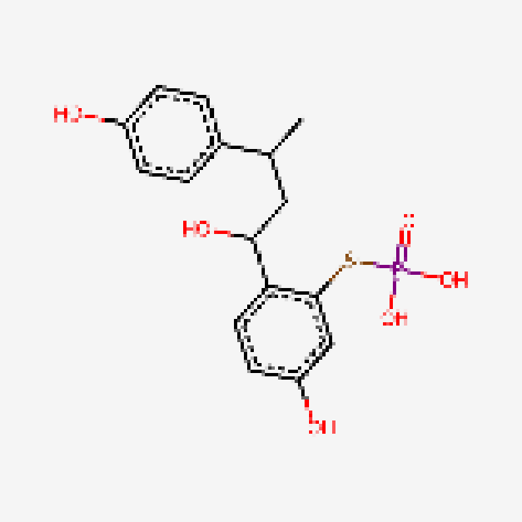 CC(CC(O)c1ccc(O)cc1SP(=O)(O)O)c1ccc(O)cc1